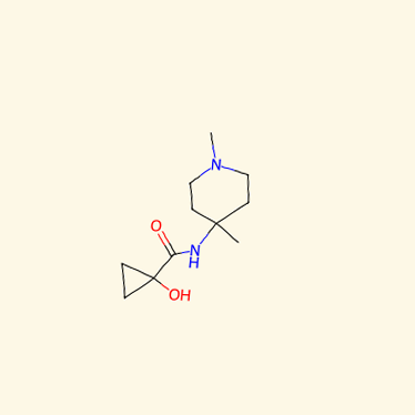 CN1CCC(C)(NC(=O)C2(O)CC2)CC1